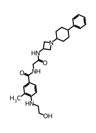 Cc1cc(C(=O)NCC(=O)NC2CN(C3CCC(c4ccccc4)CC3)C2)ccc1NCCO